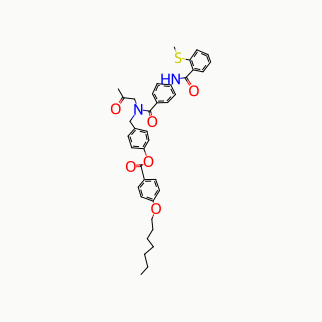 CCCCCCCOc1ccc(C(=O)Oc2ccc(CN(CC(C)=O)C(=O)c3ccc(NC(=O)c4ccccc4SC)cc3)cc2)cc1